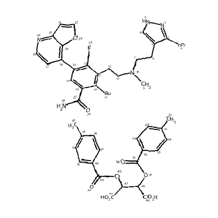 CCCc1n[nH]cc1CCN(C)CCc1c(F)c(-c2ccnc3ccoc23)cc(C(N)=O)c1C(C)CC.Cc1ccc(C(=O)OC(C(=O)O)C(OC(=O)c2ccc(C)cc2)C(=O)O)cc1